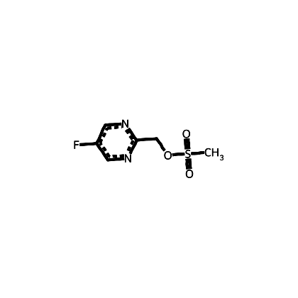 CS(=O)(=O)OCc1ncc(F)cn1